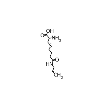 C=CCNC(=O)CCCSCC(N)C(=O)O